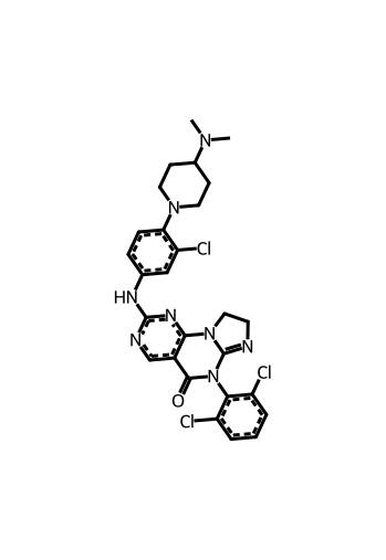 CN(C)C1CCN(c2ccc(Nc3ncc4c(n3)N3CCN=C3N(c3c(Cl)cccc3Cl)C4=O)cc2Cl)CC1